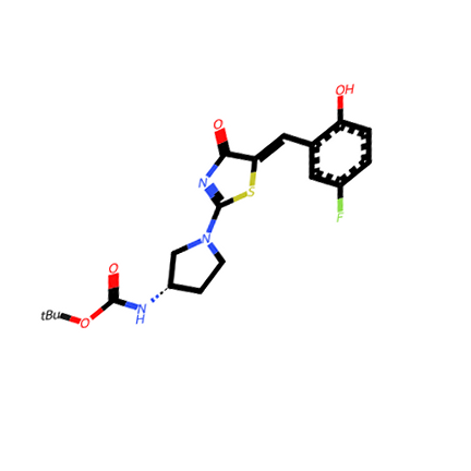 CC(C)(C)OC(=O)N[C@H]1CCN(C2=NC(=O)/C(=C/c3cc(F)ccc3O)S2)C1